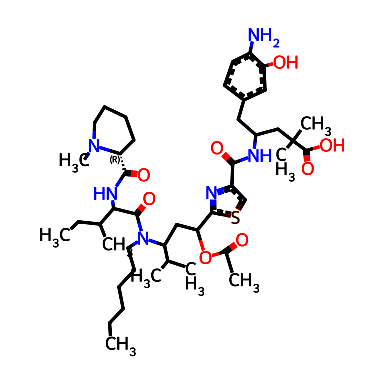 CCCCCCN(C(=O)C(NC(=O)[C@H]1CCCCN1C)C(C)CC)C(CC(OC(C)=O)c1nc(C(=O)NC(Cc2ccc(N)c(O)c2)CC(C)(C)C(=O)O)cs1)C(C)C